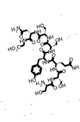 NC(=O)CC[C@H](NC(=O)[C@H](CO)NC(=O)[C@@H](N)CO)C(=O)N[C@@H](Cc1ccc(O)cc1)C(=O)N[C@@H](CO)C(=O)N[C@@H](CO)C(=O)N[C@@H](CC(N)=O)C(=O)NCC(=O)O